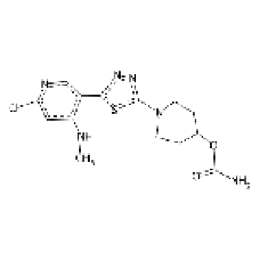 CNc1cc(Cl)ncc1-c1nnc(N2CCC(OC(N)=O)CC2)s1